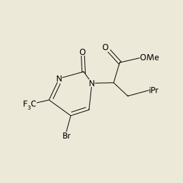 COC(=O)C(CC(C)C)n1cc(Br)c(C(F)(F)F)nc1=O